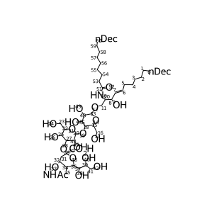 CCCCCCCCCCCCCCC/C=C/C(O)C(COC1OC(CO)C(OC2OC(CO)C(O)C(OC3(C(=O)O)CC(O)C(NC(C)=O)C(C(O)C(O)CO)O3)C2O)C(O)C1O)NC(=O)CCCCCCCCCCCCCCCCC